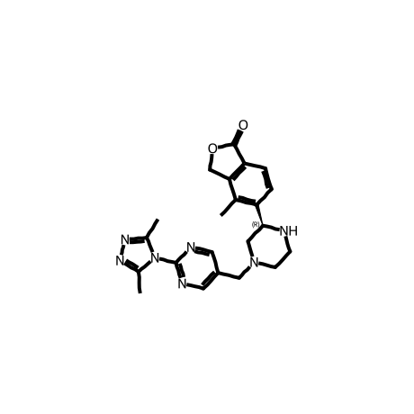 Cc1c([C@@H]2CN(Cc3cnc(-n4c(C)nnc4C)nc3)CCN2)ccc2c1COC2=O